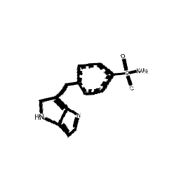 CNS(=O)(=O)c1ccc(CC2=C3N=CC=C3NC2)cc1